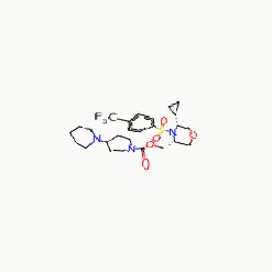 O=C(OC[C@H]1COC[C@@H](C2CC2)N1S(=O)(=O)c1ccc(C(F)(F)F)cc1)N1CCC(N2CCCCC2)CC1